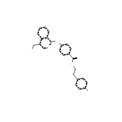 CC(=O)Cc1cnc(Oc2ccc(C(=O)NCCc3ccc(Cl)cc3)cc2)c2ccccc12